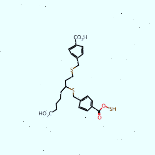 O=C(O)CCCCC(CCSCc1ccc(C(=O)O)cc1)SCc1ccc(C(=O)OS)cc1